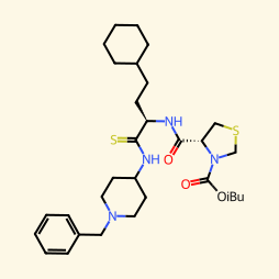 CC(C)COC(=O)N1CSC[C@H]1C(=O)N[C@H](CCC1CCCCC1)C(=S)NC1CCN(Cc2ccccc2)CC1